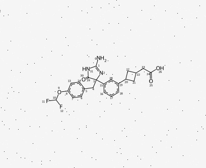 NC1=NC(Cc2ccc(OC(F)F)cc2)(c2cccc(C3CC(CC(=O)O)C3)c2)C(=O)N1